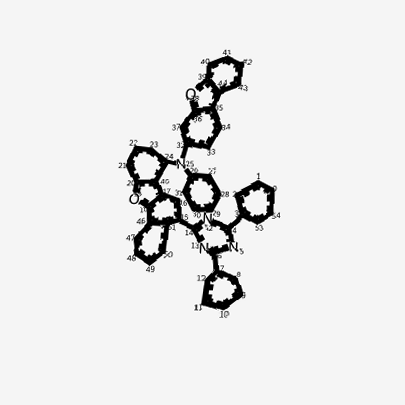 c1ccc(-c2nc(-c3ccccc3)nc(-c3cc4c(oc5cccc(N(c6ccccc6)c6ccc7c(c6)oc6ccccc67)c54)c4ccccc34)n2)cc1